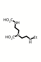 CCNCCN(CCNC(=O)O)C(=O)O